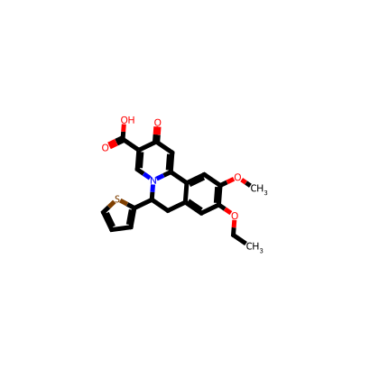 CCOc1cc2c(cc1OC)-c1cc(=O)c(C(=O)O)cn1C(c1cccs1)C2